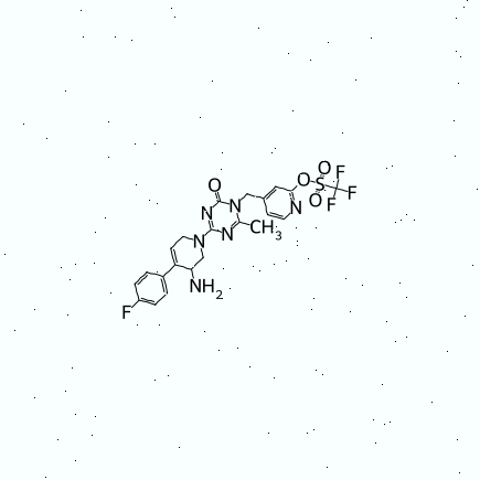 Cc1nc(N2CC=C(c3ccc(F)cc3)C(N)C2)nc(=O)n1Cc1ccnc(OS(=O)(=O)C(F)(F)F)c1